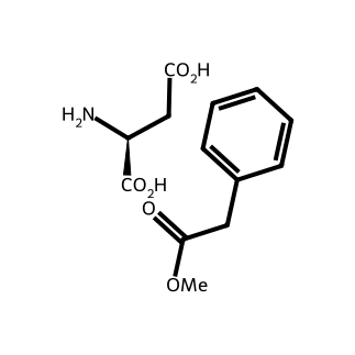 COC(=O)Cc1ccccc1.N[C@@H](CC(=O)O)C(=O)O